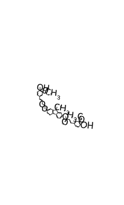 COc1cc(C=COCOc2ccc3c(c2)C(C)c2cc(OC(=O)C=Cc4ccc(O)c(OC)c4)ccc2-3)ccc1O